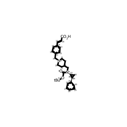 CC(C)(C)OC(=O)N(CC1CCN(Cc2ccc(C=CC(=O)O)cc2)CC1)[C@@H]1C[C@H]1c1ccccc1